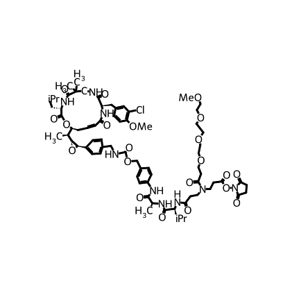 COCCOCCOCCOCCC(=O)N(CCC(=O)N[C@H](C(=O)N[C@@H](C)C(=O)Nc1ccc(COC(=O)NCc2ccc([C@H]3O[C@@H]3[C@@H](C)[C@@H]3C/C=C/C(=O)N[C@H](Cc4ccc(OC)c(Cl)c4)C(=O)NCC(C)(C)C(=O)N[C@@H](CC(C)C)C(=O)O3)cc2)cc1)C(C)C)CCC(=O)ON1C(=O)CCC1=O